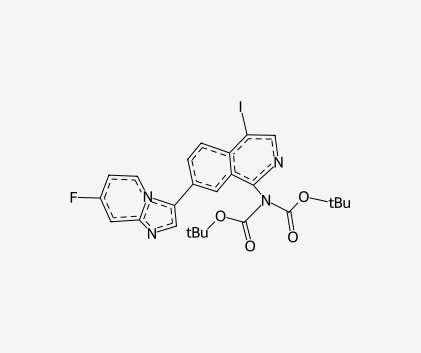 CC(C)(C)OC(=O)N(C(=O)OC(C)(C)C)c1ncc(I)c2ccc(-c3cnc4cc(F)ccn34)cc12